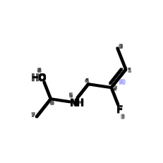 C/C=C(/F)CNC(C)O